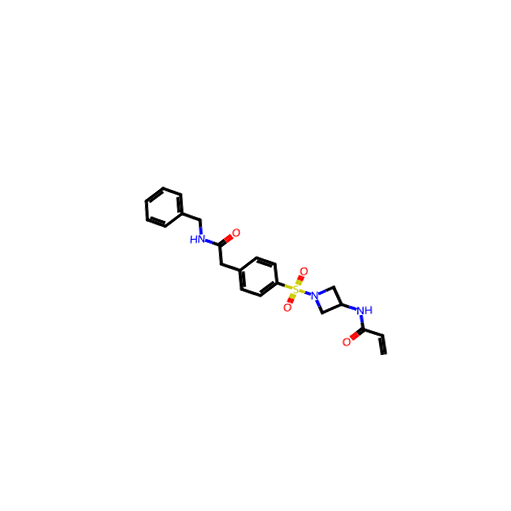 C=CC(=O)NC1CN(S(=O)(=O)c2ccc(CC(=O)NCc3ccccc3)cc2)C1